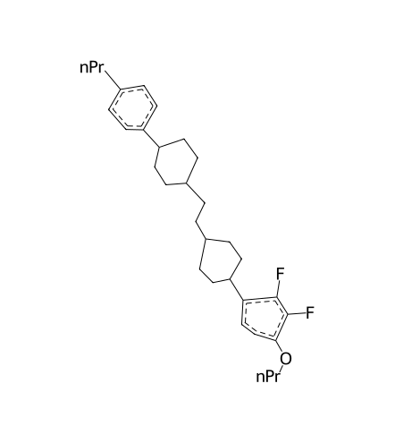 CCCOc1ccc(C2CCC(CCC3CCC(c4ccc(CCC)cc4)CC3)CC2)c(F)c1F